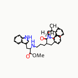 C=C(C)c1ccccc1CN(C)C(=O)C(CCCNC(Cc1c[nH]c2ccccc12)C(=O)OC)Cc1ccccc1